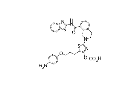 Nc1ccc(OCCCc2sc(N3CCc4cccc(C(=O)Nc5nc6ccccc6s5)c4C3)nc2OC(=O)O)cc1